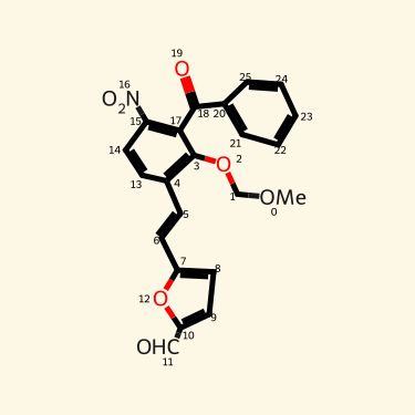 COCOc1c(C=Cc2ccc(C=O)o2)ccc([N+](=O)[O-])c1C(=O)c1ccccc1